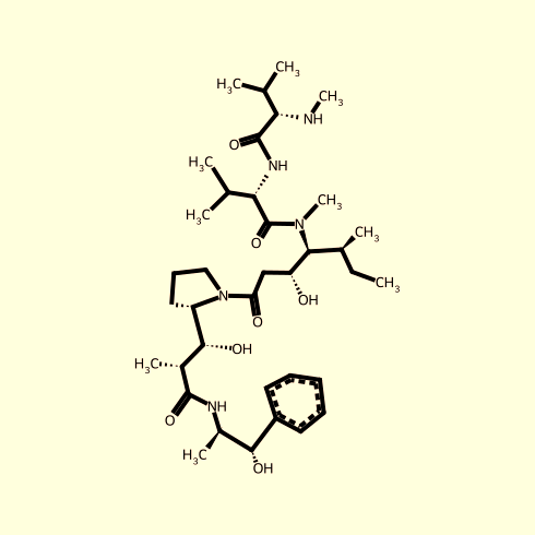 CC[C@H](C)[C@@H]([C@H](O)CC(=O)N1CCC[C@H]1[C@H](O)[C@@H](C)C(=O)N[C@H](C)[C@@H](O)c1ccccc1)N(C)C(=O)[C@@H](NC(=O)[C@@H](NC)C(C)C)C(C)C